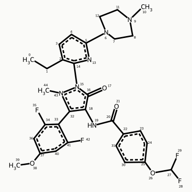 CCc1ccc(N2CCN(C)CC2)nc1-n1c(=O)c(NC(=O)c2ccc(OC(F)F)cc2)c(-c2c(F)cc(OC)cc2F)n1C